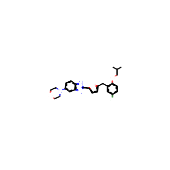 CC(C)COc1ccc(Cl)cc1Cc1ccc(-c2nc3ccc(N4CCOCC4)cc3[nH]2)o1